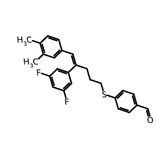 Cc1ccc(C=C(CCCSc2ccc(C=O)cc2)c2cc(F)cc(F)c2)cc1C